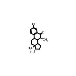 C[C@@H]1C(=O)c2cc(O)ccc2C2CCC3(C)C(CC[C@@H]3O)C21